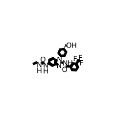 CCNC(=O)Nc1ccc2c(c1)nc(NC(=O)c1cccc(C(F)(F)F)c1)n2[C@H]1CC[C@@H](CO)CC1